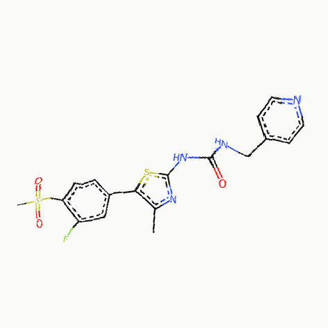 Cc1nc(NC(=O)NCc2ccncc2)sc1-c1ccc(S(C)(=O)=O)c(F)c1